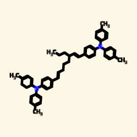 CCCC(/C=C/c1ccc(N(c2c#cc(C)cc2)c2ccc(C)cc2)cc1)CCC/C=C/c1ccc(N(C2=CC=C(C)CC2)c2ccc(C)cc2)cc1